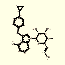 CC(=O)O[C@@H]1[C@@H](OC(C)=O)[C@H](C)[C@@H](C=NO)O[C@H]1n1cc(Cc2ccc(C3CC3)cc2)c2c(Cl)cccc21